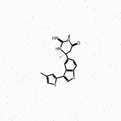 Cc1csc(-c2csc3ccc([C@]4(C)CC(=O)N(C)C(=N)N4)cc23)c1